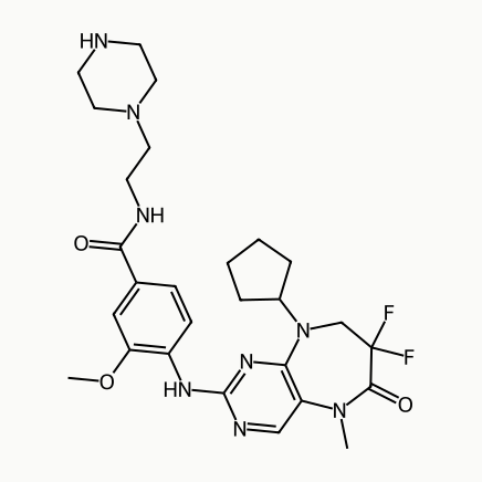 COc1cc(C(=O)NCCN2CCNCC2)ccc1Nc1ncc2c(n1)N(C1CCCC1)CC(F)(F)C(=O)N2C